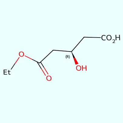 CCOC(=O)C[C@H](O)CC(=O)O